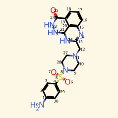 Nc1ccc(S(=O)(=O)N2CCN(CC3=Nc4cccc5c4C(NNC5=O)N3)CC2)cc1